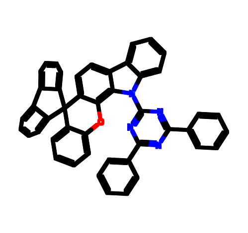 c1ccc(-c2nc(-c3ccccc3)nc(-n3c4ccccc4c4ccc5c(c43)Oc3ccccc3C53c4ccccc4-c4ccccc43)n2)cc1